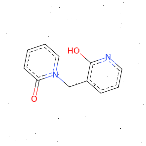 O=c1ccccn1Cc1cccnc1O